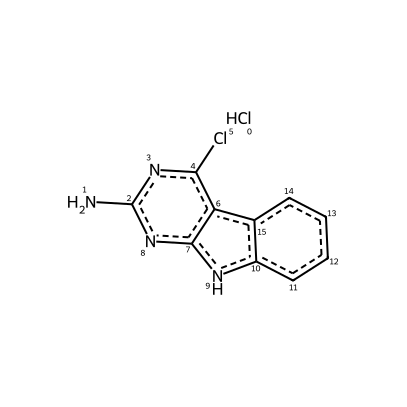 Cl.Nc1nc(Cl)c2c(n1)[nH]c1ccccc12